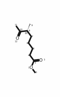 COC(=O)CCCC[C@@H](C)C(C)=O